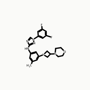 Cc1cc(Nc2ncn(-c3cc(F)cc(F)c3)n2)cc(N2CC(N3CCOCC3)C2)c1